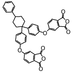 O=C1OC(=O)c2cc(Oc3ccc(C4(c5ccc(Oc6ccc7c(c6)C(=O)OC7=O)cc5)CCC(c5ccccc5)CC4)cc3)ccc21